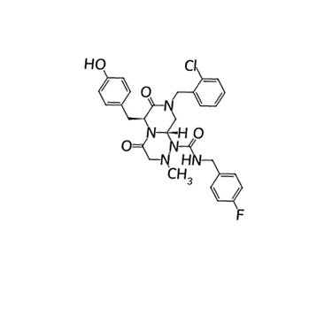 CN1CC(=O)N2[C@@H](Cc3ccc(O)cc3)C(=O)N(Cc3ccccc3Cl)C[C@@H]2N1C(=O)NCc1ccc(F)cc1